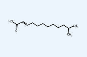 CC(C)CCCCCCC/C=C/C(=O)O